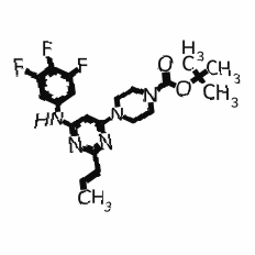 CC=Cc1nc(Nc2cc(F)c(F)c(F)c2)cc(N2CCN(C(=O)OC(C)(C)C)CC2)n1